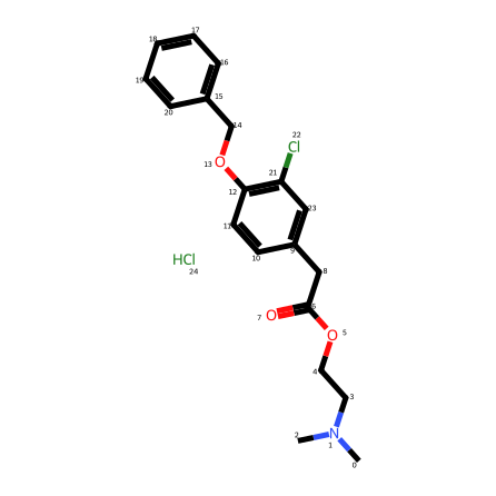 CN(C)CCOC(=O)Cc1ccc(OCc2ccccc2)c(Cl)c1.Cl